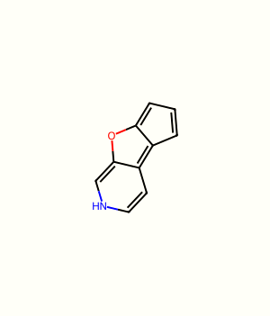 c1cc2oc3c[nH]ccc3c2c1